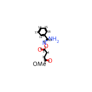 COC(=O)CCC(=O)O/N=C(\N)c1ccccc1